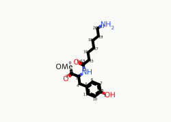 COC(=O)C(Cc1ccc(O)cc1)NC(=O)CCCCCCN